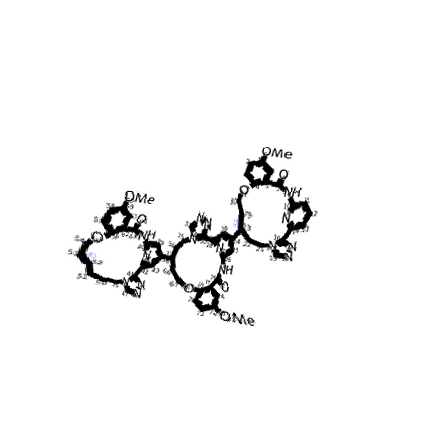 COc1ccc2c(c1)C(=O)Nc1cccc(n1)-c1nncn1CC/C(c1cc3nc(c1)-c1nncn1CCC(c1cc4nc(c1)-c1nncn1CCC/C=C/COc1ccc(OC)cc1C(=O)N4)CCOc1ccc(OC)cc1C(=O)N3)=C/CO2